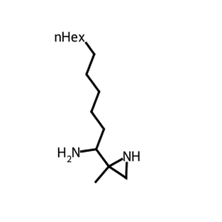 CCCCCCCCCCCC(N)C1(C)CN1